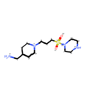 NCC1CCN(CCCS(=O)(=O)N2CCNCC2)CC1